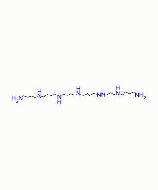 NCCCCNCCCCNCCCCNCCCCNCCCCNCCCCN